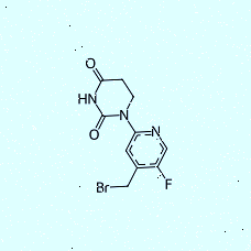 O=C1CCN(c2cc(CBr)c(F)cn2)C(=O)N1